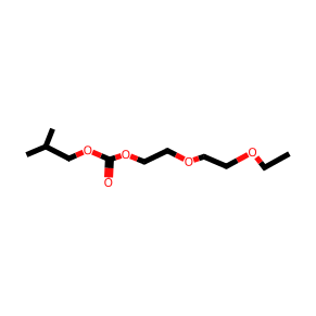 CCOCCOCCOC(=O)O[CH]C(C)C